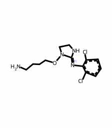 NCCCCON1CCN/C1=N\c1c(Cl)cccc1Cl